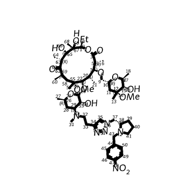 CC[C@H]1OC(=O)[C@H](C)[C@@H](OC[C@H]2C[C@@](C)(OC)[C@@H](O)[C@H](C)O2)[C@H](C)[C@@H](O[C@@H]2O[C@H](C)C[C@H](N(C)CCc3cn(C[C@@H]4CCCN4Cc4ccc([N+](=O)[O-])cc4)nn3)[C@H]2O)[C@](C)(OC)C[C@@H](C)C(=O)[C@H](C)[C@@H](O)[C@]1(C)O